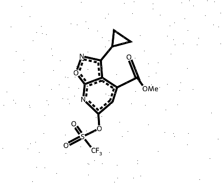 COC(=O)c1cc(OS(=O)(=O)C(F)(F)F)nc2onc(C3CC3)c12